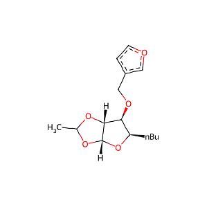 CCCC[C@H]1O[C@@H]2OC(C)O[C@@H]2[C@H]1OCc1ccoc1